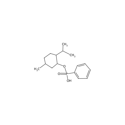 CC1CCC(C(C)C)C(OP(=O)(O)c2ccccc2)C1